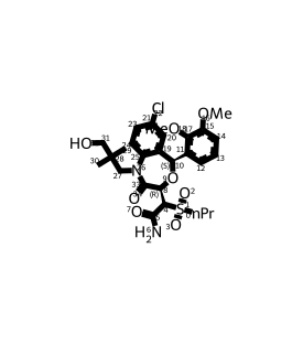 CCCS(=O)(=O)C(C(N)=O)[C@@H]1O[C@H](c2cccc(OC)c2OC)c2cc(Cl)ccc2N(CC(C)(C)CO)C1=O